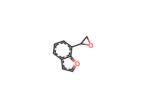 c1cc(C2CO2)c2occc2c1